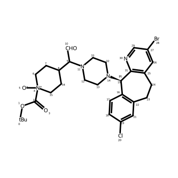 CC(C)(C)OC(=O)[N+]1([O-])CCC(C(C=O)N2CCN([C@@H]3c4ccc(Cl)cc4CCc4cc(Br)cnc43)CC2)CC1